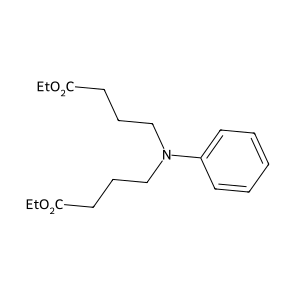 CCOC(=O)CCCN(CCCC(=O)OCC)c1ccccc1